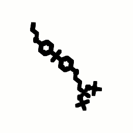 C=CCOc1ccc(C(C)(C)c2ccc(OCCC[Si](C)(O[Si](C)(C)C)O[Si](C)(C)C)cc2)cc1